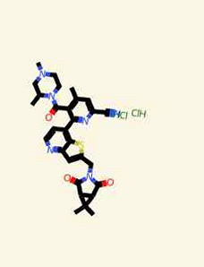 Cc1cc(C#N)nc(-c2ccnc3cc(CN4C(=O)C5C(C4=O)C5(C)C)sc23)c1C(=O)N1CCN(C)CC1C.Cl.Cl